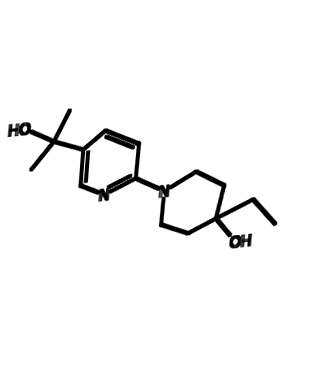 CCC1(O)CCN(c2ccc(C(C)(C)O)cn2)CC1